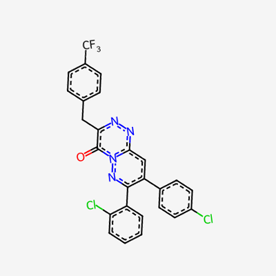 O=c1c(Cc2ccc(C(F)(F)F)cc2)nnc2cc(-c3ccc(Cl)cc3)c(-c3ccccc3Cl)nn12